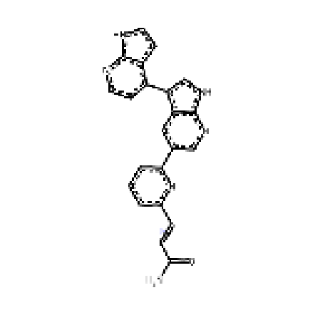 NC(=O)/C=C/c1cccc(-c2cnc3[nH]cc(-c4ccnc5[nH]ccc45)c3c2)n1